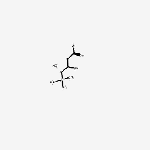 C[N+](C)(C)CC(O)CC([O-])=S.Cl